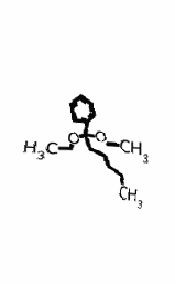 CCCCCC(OCC)(OCC)c1ccccc1